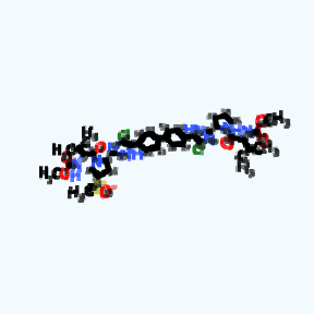 COC(=O)N[C@H](C(=O)N1C[C@@H]([S+](C)[O-])C[C@H]1c1nc(Cl)c(-c2ccc(-c3ccc(-c4[nH]c([C@@H]5CCCN5C(=O)[C@H](NC(=O)OC)C(C)C)nc4Cl)cc3)cc2)[nH]1)C(C)C